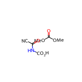 COC(=O)OC.N#CC(=O)NC(=O)O